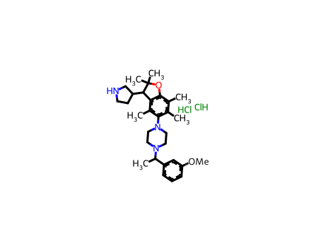 COc1cccc(C(C)N2CCN(c3c(C)c(C)c4c(c3C)C(C3CCNC3)C(C)(C)O4)CC2)c1.Cl.Cl